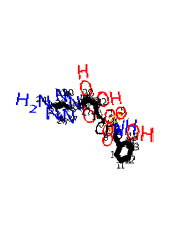 CC(OS(=O)(=O)NC(=O)c1ccccc1O)[C@H]1O[C@@H](n2cnc3c(N)ncnc32)[C@H](O)[C@@H]1O